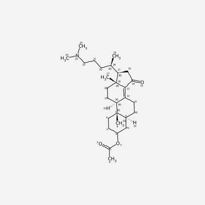 CC(=O)OC1CC[C@@]2(C)[C@@H](CCC3=C4C(=O)C[C@H]([C@H](C)CCCN(C)C)[C@@]4(C)CC[C@@H]32)C1